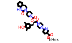 CCCCCCOC(=O)c1ccc(N2CCN(C(=O)[C@@H](Cc3cc(C)c(O)c(C)c3)OC(=O)N3CCC(N4CCc5ccccc5NC4=O)CC3)CC2)nc1